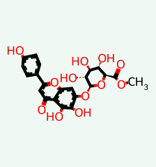 COC(=O)[C@H]1O[C@@H](Oc2cc3oc(-c4ccc(O)cc4)cc(=O)c3c(O)c2O)[C@H](O)[C@@H](O)[C@@H]1O